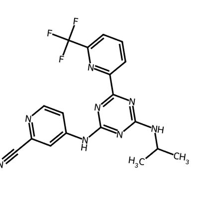 CC(C)Nc1nc(Nc2ccnc(C#N)c2)nc(-c2cccc(C(F)(F)F)n2)n1